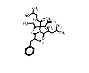 C=C(C)C(=O)C(C(=O)CN)(C(=O)NCC(C)O)N(C(=O)C(N)Cc1ccccc1)C(=O)C(N)CC(C)C